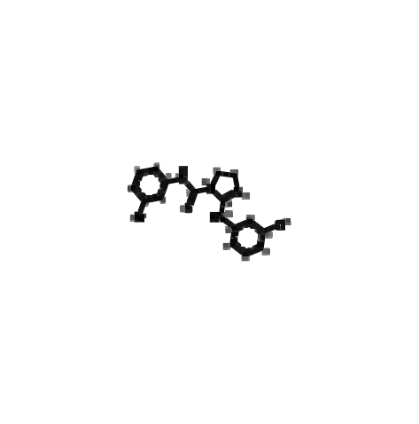 S=C(Nc1cccc(Br)c1)N1CCN=C1Nc1cccc(Cl)c1